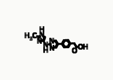 Cc1nc(Nc2ncc(-c3ccc(CC(=O)O)cc3)cn2)c[nH]1